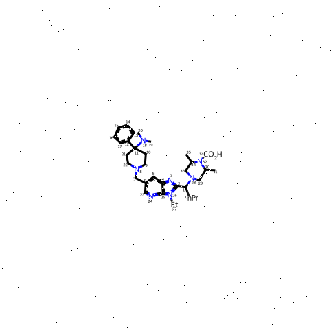 CCCC(c1nc2cc(CN3CCC(c4ccccc4)(N(C)C)CC3)cnc2n1CC)N1CC(C)N(C(=O)O)C(C)C1